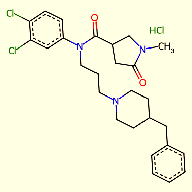 CN1CC(C(=O)N(CCCN2CCC(Cc3ccccc3)CC2)c2ccc(Cl)c(Cl)c2)CC1=O.Cl